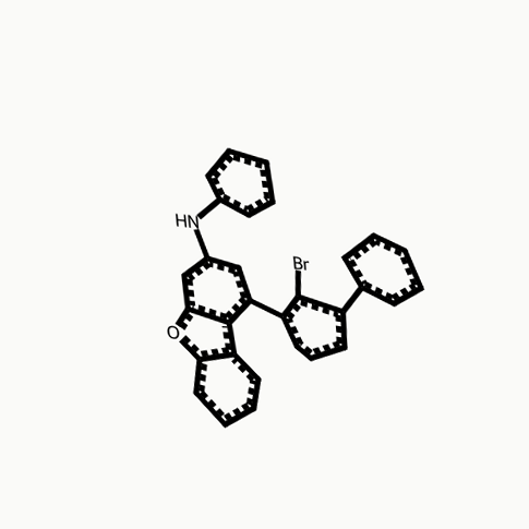 Brc1c(-c2ccccc2)cccc1-c1cc(Nc2ccccc2)cc2oc3ccccc3c12